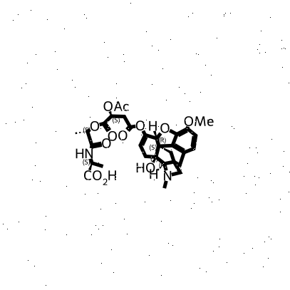 COc1ccc2c3c1O[C@H]1C(OC(=O)C[C@H](OC(C)=O)C(=O)O[C@@H](C)C(=O)N[C@@H](C)C(=O)O)=CC[C@@]4(O)[C@@H]5N(C)CC5(C2)C[C@]314